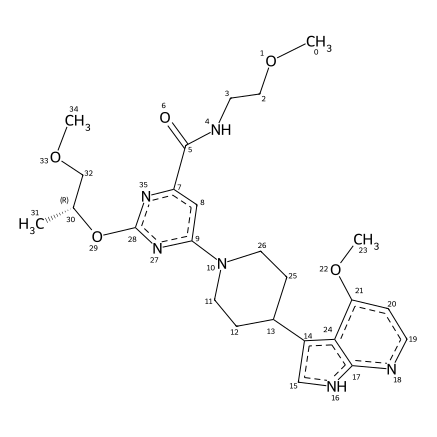 COCCNC(=O)c1cc(N2CCC(c3c[nH]c4nccc(OC)c34)CC2)nc(O[C@H](C)COC)n1